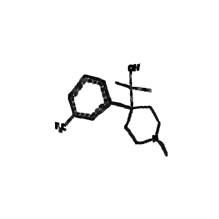 CN1CCC(c2cccc(C(F)(F)F)c2)(C(C)(C)O)CC1